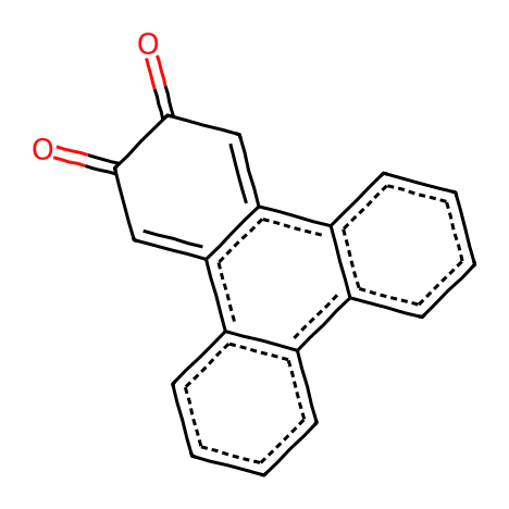 O=C1C=c2c(c3ccccc3c3ccccc23)=CC1=O